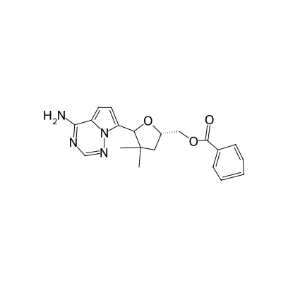 CC1(C)C[C@@H](COC(=O)c2ccccc2)OC1c1ccc2c(N)ncnn12